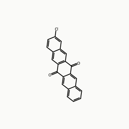 O=C1c2cc3ccccc3cc2C(=O)c2cc3cc(Cl)ccc3cc21